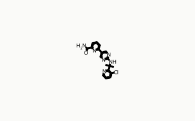 CC(C)(Nc1ncc(-c2cccc(C(N)=O)n2)cn1)c1ncccc1Cl